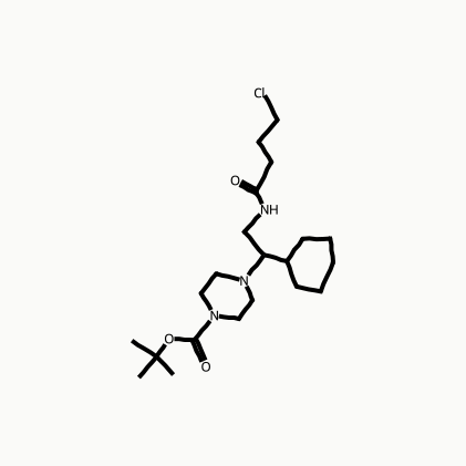 CC(C)(C)OC(=O)N1CCN(C(CNC(=O)CCCCl)C2CCCCC2)CC1